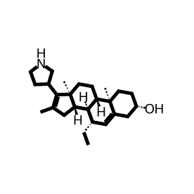 CC[C@H]1C=C2C[C@@H](O)CC[C@]2(C)[C@H]2CC[C@]3(C)C(C4CCNC4)=C(C)C[C@H]3[C@H]12